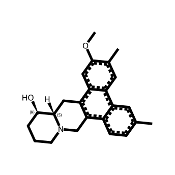 COc1cc2c3c(c4ccc(C)cc4c2cc1C)CN1CCC[C@@H](O)[C@@H]1C3